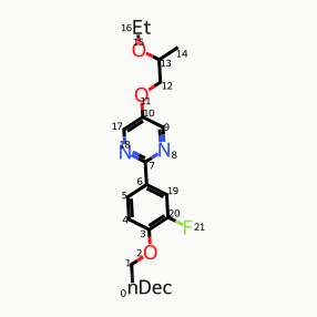 CCCCCCCCCCCOc1ccc(-c2ncc(OCC(C)OCC)cn2)cc1F